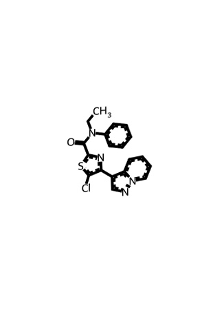 CCN(C(=O)c1nc(-c2cnn3ccccc23)c(Cl)s1)c1ccccc1